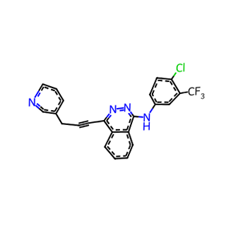 FC(F)(F)c1cc(Nc2nnc(C#CCc3cccnc3)c3ccccc23)ccc1Cl